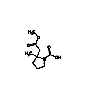 COC(=O)CC1(C)CCCN1C(=O)O